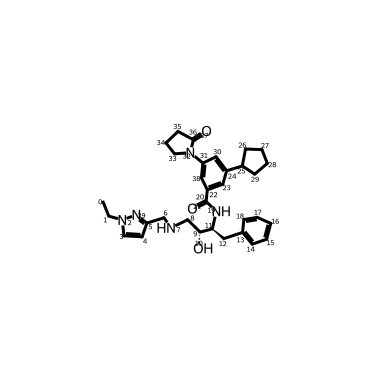 CCn1ccc(CNC[C@@H](O)[C@H](Cc2ccccc2)NC(=O)c2cc(C3CCCC3)cc(N3CCCC3=O)c2)n1